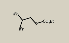 CCOC(=O)SCC(C(C)C)C(C)C